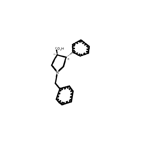 O=C(O)[C@@H]1CN(Cc2ccccc2)C[C@H]1c1ccccc1